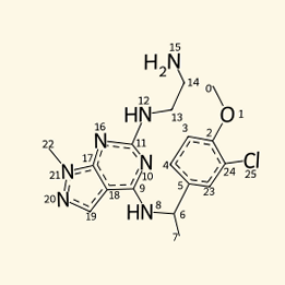 COc1ccc(C(C)Nc2nc(NCCN)nc3c2cnn3C)cc1Cl